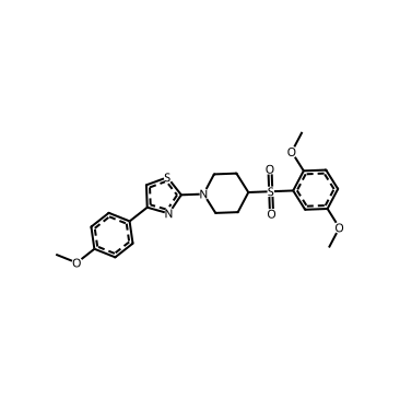 COc1ccc(-c2csc(N3CCC(S(=O)(=O)c4cc(OC)ccc4OC)CC3)n2)cc1